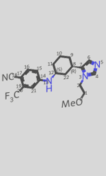 COCCn1cncc1[C@@H]1CCC[C@H](Nc2ccc(C#N)c(C(F)(F)F)c2)C1